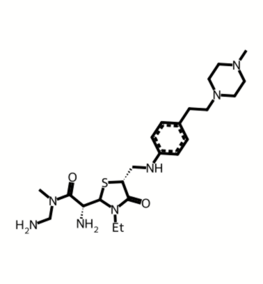 CCN1C(=O)[C@@H](CNc2ccc(CCN3CCN(C)CC3)cc2)SC1[C@H](N)C(=O)N(C)CN